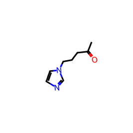 CC(=O)CCCn1ccnc1